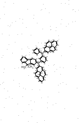 CC1(C)c2ccccc2-c2ccc(N(c3cccc(N(c4ccccc4)c4cc5ccc6cccc7ccc(c4)c5c67)c3)c3cc4ccc5cccc6ccc(c3)c4c56)cc21